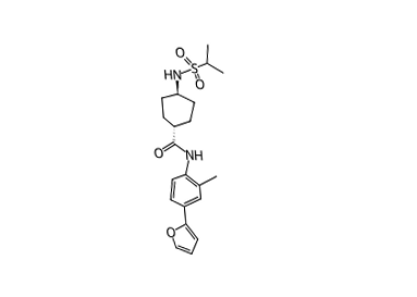 Cc1cc(-c2ccco2)ccc1NC(=O)[C@H]1CC[C@H](NS(=O)(=O)C(C)C)CC1